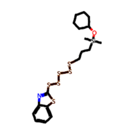 C[Si](C)(CCCSSSSSc1nc2ccccc2s1)OC1CCCCC1